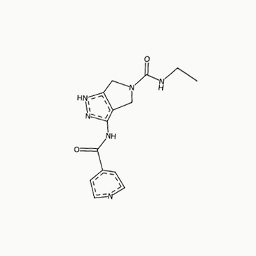 CCNC(=O)N1Cc2[nH]nc(NC(=O)c3ccncc3)c2C1